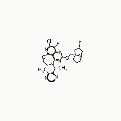 Cc1nccnc1[C@@H](C)N1CCOc2nc(Cl)c(F)c3nc(OC[C@@]45CCCN4C[C@H](F)C5)nc1c23